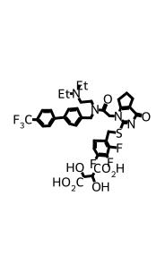 CCN(CC)CCN(Cc1ccc(-c2ccc(C(F)(F)F)cc2)cc1)C(=O)Cn1c(SCc2ccc(F)c(F)c2F)nc(=O)c2c1CCC2.O=C(O)C(O)C(O)C(=O)O